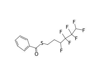 O=C(SCCC(F)C(F)(F)C(F)(F)C(F)F)c1ccccc1